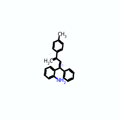 C=C(/C=C(/c1ccccc1)c1ccccc1N)c1ccc(C)cc1